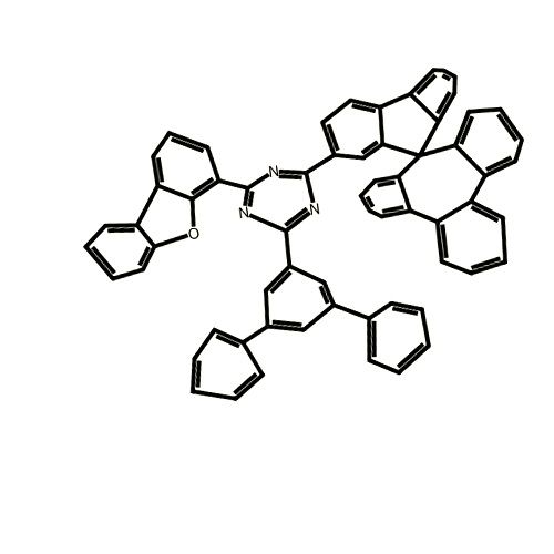 c1ccc(-c2cc(-c3ccccc3)cc(-c3nc(-c4ccc5c(c4)C4(c6ccccc6-c6ccccc6-c6ccccc64)c4ccccc4-5)nc(-c4cccc5c4oc4ccccc45)n3)c2)cc1